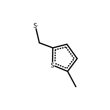 Cc1ccc(C[S])s1